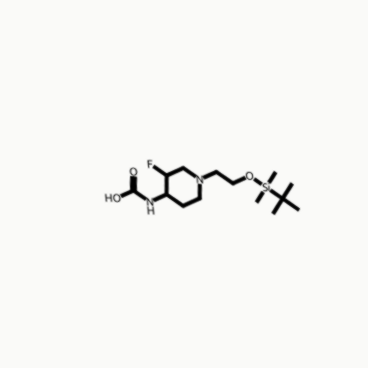 CC(C)(C)[Si](C)(C)OCCN1CCC(NC(=O)O)C(F)C1